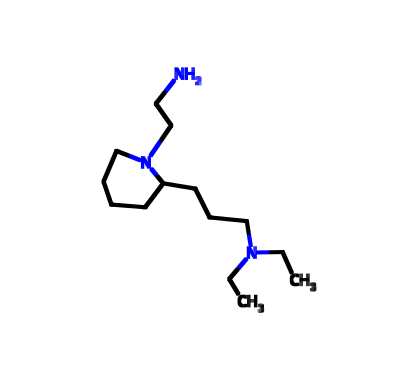 CCN(CC)CCCC1CCCCN1CCN